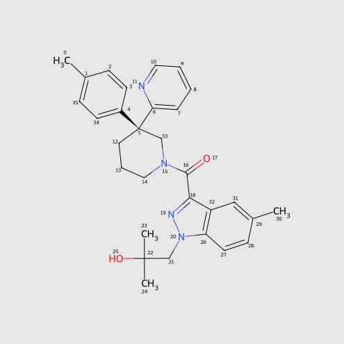 Cc1ccc([C@]2(c3ccccn3)CCCN(C(=O)c3nn(CC(C)(C)O)c4ccc(C)cc34)C2)cc1